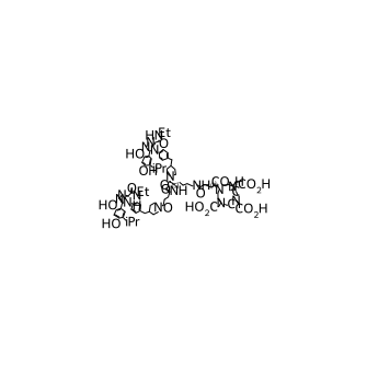 CCNC(=O)c1nnc(-c2cc(C(C)C)c(O)cc2O)n1-c1ccc(CC2CCN(C(=O)CCC(=O)N[C@@H](CCCCNC(=O)CC[C@H](C(=O)O)N3CCN(CC(=O)O)CCN(CC(=O)O)CCN(CC(=O)O)CC3)C(=O)N3CCC(Cc4ccc(-n5c(C(=O)NCC)nnc5-c5cc(C(C)C)c(O)cc5O)cc4)CC3)CC2)cc1